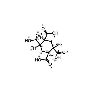 [2H]C1(C(=O)O)CC([2H])(C(=O)O)C([2H])(C(=O)O)CC1([2H])C(=O)O